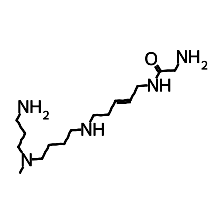 CN(CCCN)CCCCNCCC=CCNC(=O)CN